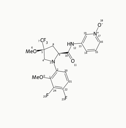 COc1c(N2C[C@](OC)(C(F)(F)F)C[C@H]2C(=O)Nc2ccc[n+]([O-])c2)ccc(F)c1F